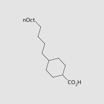 CCCCCCCCCCCCC1CCC(C(=O)O)CC1